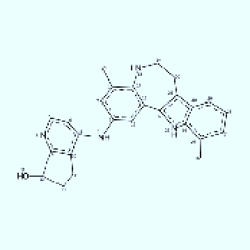 Cc1cc(Nc2ccnc3c2CCC3O)cc2c1NCCc1c-2[nH]c2c(C)cccc12